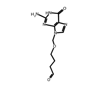 Nc1nc2c(ncn2COCCCC=O)c(=O)[nH]1